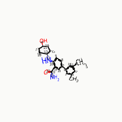 Cc1cc(C)cc(-c2ccc(N[C@H]3CC[C@H](O)CC3)c(C(N)=O)c2)c1